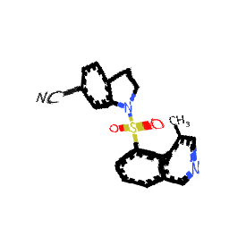 Cc1cncc2cccc(S(=O)(=O)N3CCc4ccc(C#N)cc43)c12